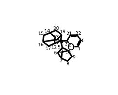 C1=COC(C2(C3CC4CCC3C4)[C]3CC4CC(C3)CC2C4)C=C1